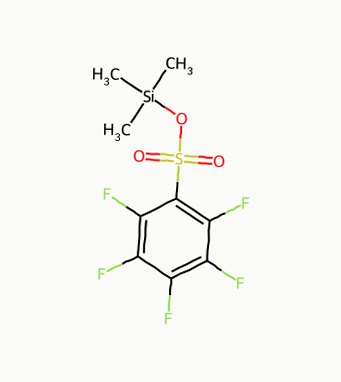 C[Si](C)(C)OS(=O)(=O)c1c(F)c(F)c(F)c(F)c1F